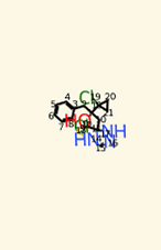 OC(Cc1ccccc1Cl)(CC1(C=S)NC=NN1)C1(Cl)CC1